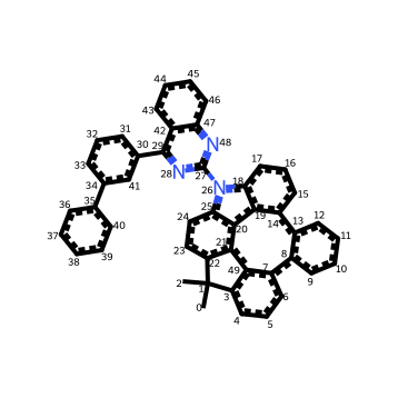 CC1(C)c2cccc3c4ccccc4c4cccc5c4c4c(c1ccc4n5-c1nc(-c4cccc(-c5ccccc5)c4)c4ccccc4n1)c23